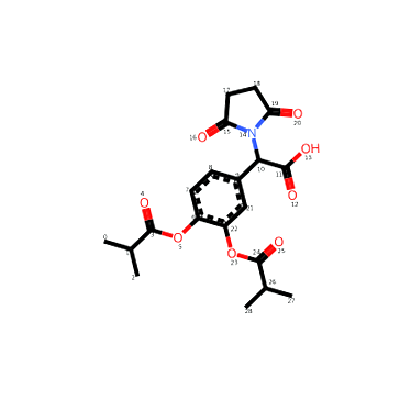 CC(C)C(=O)Oc1ccc(C(C(=O)O)N2C(=O)CCC2=O)cc1OC(=O)C(C)C